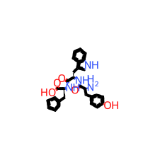 N[C@@H](Cc1ccc(O)cc1)C(=O)N[C@@H](Cc1c[nH]c2ccccc12)C(=O)N[C@@H](Cc1ccccc1)C(=O)O